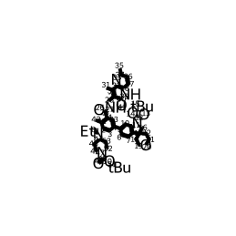 CCN(c1cc(-c2ccc3c(c2)N(C(=O)OC(C)(C)C)CC32CCOCC2)cc(C(=O)NCc2c(C)c3nc(C)ccc3[nH]c2=O)c1C)C1CCN(C(=O)OC(C)(C)C)CC1